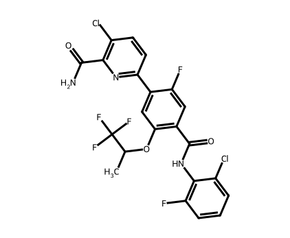 CC(Oc1cc(-c2ccc(Cl)c(C(N)=O)n2)c(F)cc1C(=O)Nc1c(F)cccc1Cl)C(F)(F)F